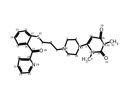 Cn1c(N2CCN(CCCSc3ccccc3C(=O)c3ccccn3)CC2)cc(=O)n(C)c1=O